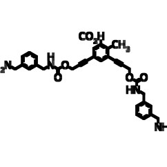 Cc1c(C#CCOC(=O)NCc2cccc(CN)c2)cc(C#CCOC(=O)NCc2cccc(CN)c2)cc1C(=O)O